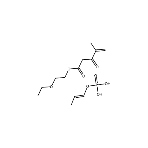 C=C(C)C(=O)CC(=O)OCCOCC.CC=COP(=O)(O)O